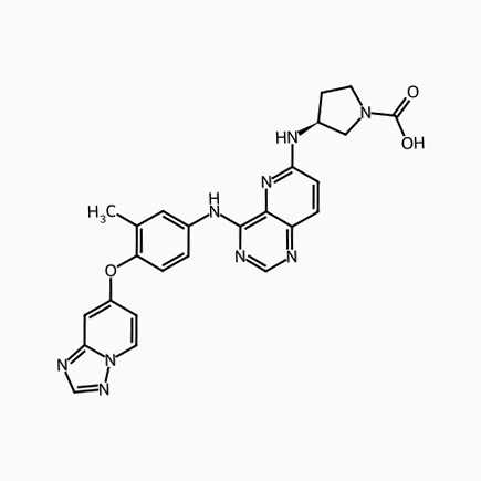 Cc1cc(Nc2ncnc3ccc(N[C@H]4CCN(C(=O)O)C4)nc23)ccc1Oc1ccn2ncnc2c1